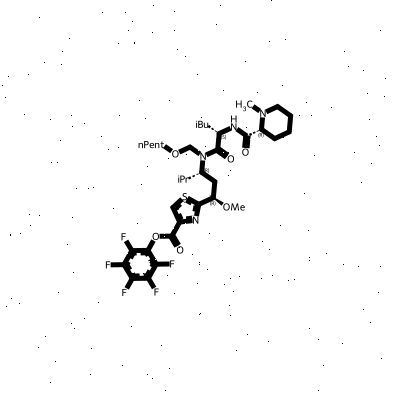 CCCCCOCN(C(=O)[C@@H](NC(=O)[C@H]1CCCCN1C)C(C)CC)[C@H](C[C@@H](OC)c1nc(C(=O)Oc2c(F)c(F)c(F)c(F)c2F)cs1)C(C)C